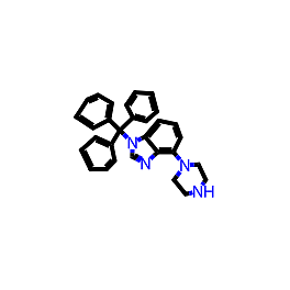 c1ccc(C(c2ccccc2)(c2ccccc2)n2cnc3c(N4CCNCC4)cccc32)cc1